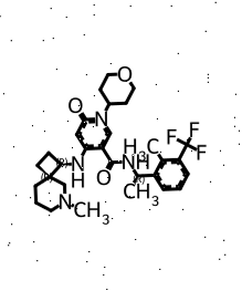 Cc1c([C@@H](C)NC(=O)c2cn(C3CCOCC3)c(=O)cc2N[C@@H]2CC[C@@]23CCCN(C)C3)cccc1C(F)(F)F